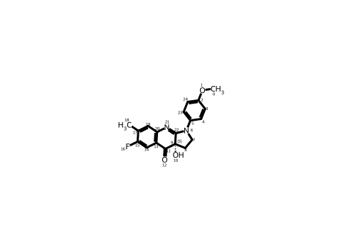 COc1ccc(N2CC[C@@]3(O)C(=O)c4cc(F)c(C)cc4N=C23)cc1